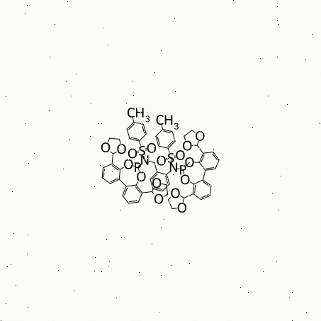 Cc1ccc(S(=O)(=O)N(Cc2ccccc2N(p2oc3c(C4OCCO4)cccc3c3cccc(C4OCCO4)c3o2)S(=O)(=O)c2ccc(C)cc2)p2oc3c(C4OCCO4)cccc3c3cccc(C4OCCO4)c3o2)cc1